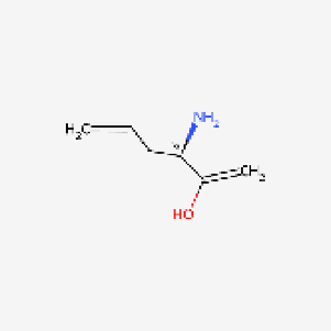 C=CC[C@@H](N)C(=C)O